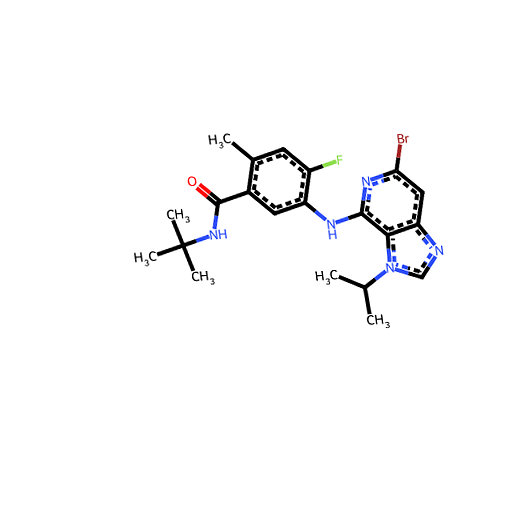 Cc1cc(F)c(Nc2nc(Br)cc3ncn(C(C)C)c23)cc1C(=O)NC(C)(C)C